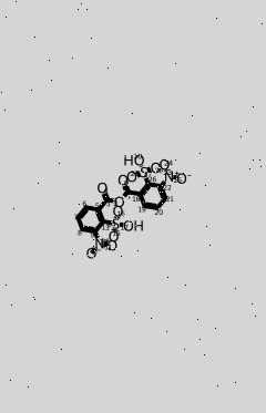 O=C(OC(=O)c1cccc([N+](=O)[O-])c1S(=O)(=O)O)c1cccc([N+](=O)[O-])c1S(=O)(=O)O